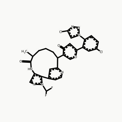 CC1CCCC(c2coc(-c3cc(Cl)ccc3-n3cc(Cl)nn3)cc2=O)c2cc(ccn2)-c2c(cnn2C(F)F)NC1=O